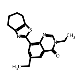 CCc1cc(-c2nc3c(s2)CCCC3)c2ncn(CC)c(=O)c2c1